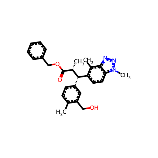 Cc1ccc([C@@H](c2ccc3c(nnn3C)c2C)[C@@H](C)C(=O)OCc2ccccc2)cc1CO